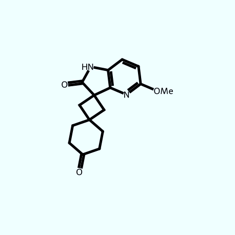 COc1ccc2c(n1)C1(CC3(CCC(=O)CC3)C1)C(=O)N2